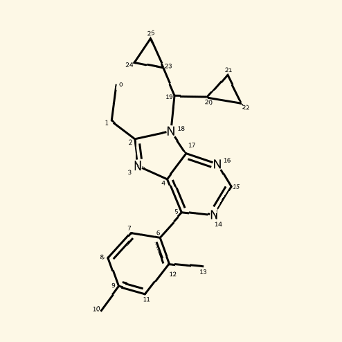 CCc1nc2c(-c3ccc(C)cc3C)ncnc2n1C(C1CC1)C1CC1